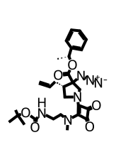 C=CC[C@H]1CN(c2c(N(C)CCNC(=O)OC(C)(C)C)c(=O)c2=O)CC1(N=[N+]=[N-])C(=O)O[C@H](C)c1ccccc1